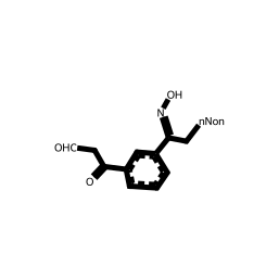 CCCCCCCCCCC(=NO)c1cccc(C(=O)CC=O)c1